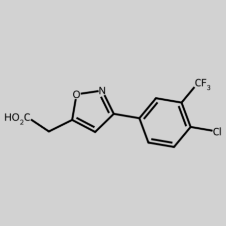 O=C(O)Cc1cc(-c2ccc(Cl)c(C(F)(F)F)c2)no1